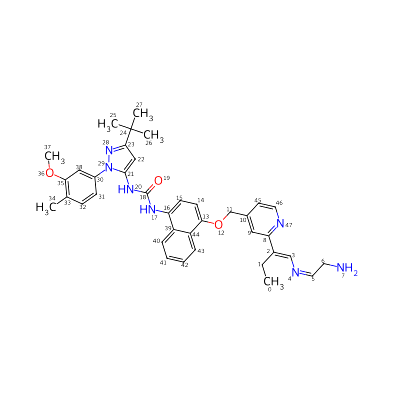 CCC(=C/N=C\CN)c1cc(COc2ccc(NC(=O)Nc3cc(C(C)(C)C)nn3-c3ccc(C)c(OC)c3)c3ccccc23)ccn1